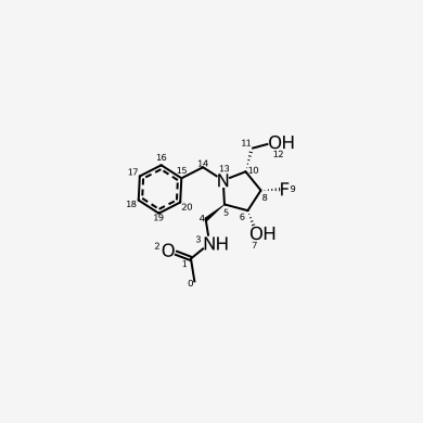 CC(=O)NC[C@@H]1[C@@H](O)[C@@H](F)[C@@H](CO)N1Cc1ccccc1